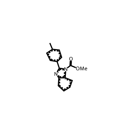 COC(=O)n1c(-c2ccc(C)cc2)nc2ccccc21